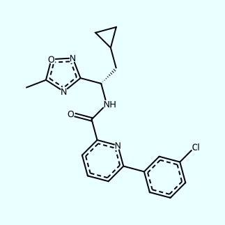 Cc1nc([C@H](CC2CC2)NC(=O)c2cccc(-c3cccc(Cl)c3)n2)no1